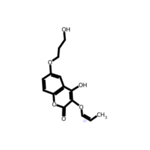 C/C=C\Oc1c(O)c2cc(OCCCO)ccc2oc1=O